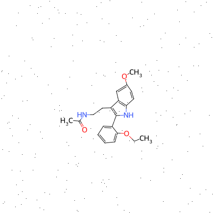 CCOc1ccccc1-c1[nH]c2ccc(OC)cc2c1CCNC(C)=O